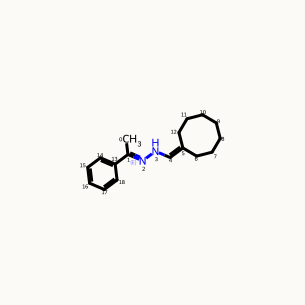 C/C(=N\NC=C1CCCCCCC1)c1ccccc1